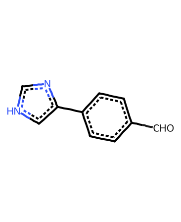 O=Cc1ccc(-c2c[nH]cn2)cc1